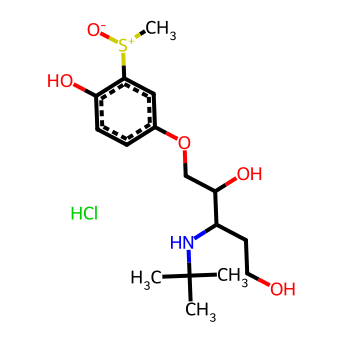 C[S+]([O-])c1cc(OCC(O)C(CCO)NC(C)(C)C)ccc1O.Cl